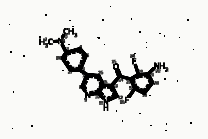 CN(C)c1ccc(-c2cnc3[nH]cc(C(=O)c4c(F)ccc(N)c4F)c3c2)cc1